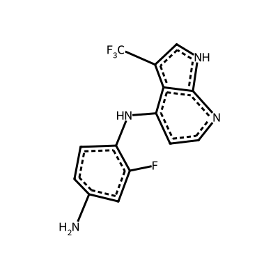 Nc1ccc(Nc2ccnc3[nH]cc(C(F)(F)F)c23)c(F)c1